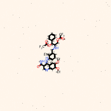 CCOc1cc2ncc(C(N)=O)c(Nc3cccc(CNC(COC(=O)C(F)(F)F)C(OC(=O)C(F)(F)F)c4ccccc4)c3CC)c2cc1OCC